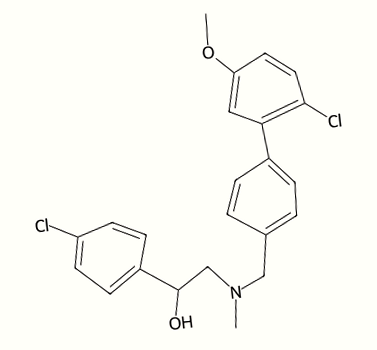 COc1ccc(Cl)c(-c2ccc(CN(C)CC(O)c3ccc(Cl)cc3)cc2)c1